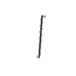 CNCCOCCOCCOCCOCCOCCOCCOCCOCCOCCOCCOCCOCCC(C)=O